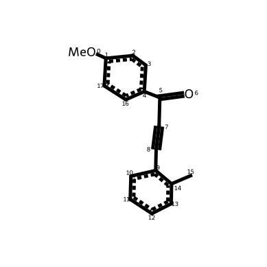 COc1ccc(C(=O)C#Cc2ccccc2C)cc1